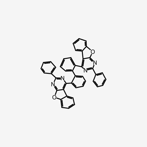 c1ccc(-c2nc(-c3ccccc3-c3ccccc3-c3nc(-c4ccccc4)nc4oc5ccccc5c34)c3c(n2)oc2ccccc23)cc1